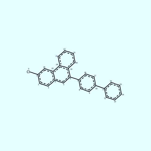 Clc1ccc2cc(-c3ccc(-c4ccccc4)cc3)c3ccccc3c2c1